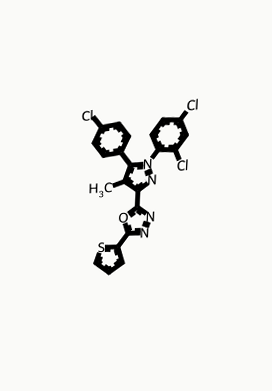 Cc1c(-c2nnc(-c3cccs3)o2)nn(-c2ccc(Cl)cc2Cl)c1-c1ccc(Cl)cc1